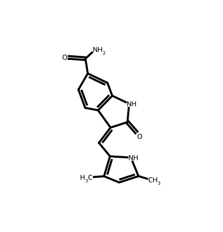 Cc1cc(C)c(/C=C2\C(=O)Nc3cc(C(N)=O)ccc32)[nH]1